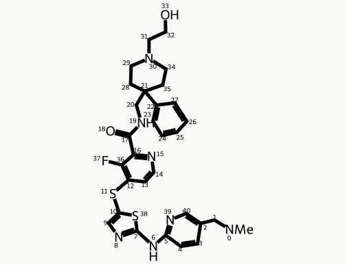 CNCc1ccc(Nc2ncc(Sc3ccnc(C(=O)NCC4(c5ccccc5)CCN(CCO)CC4)c3F)s2)nc1